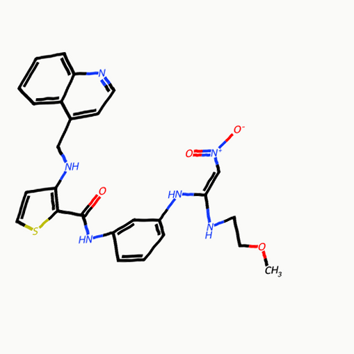 COCCN/C(=C/[N+](=O)[O-])Nc1cccc(NC(=O)c2sccc2NCc2ccnc3ccccc23)c1